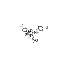 CC(=O)N1CCN(S(=O)(=O)c2ccc(C(C)C)cc2)[C@@H](C(=O)NCc2ccc(C3CC3)cc2C)C1